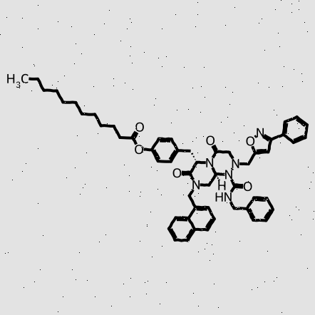 CCCCCCCCCCCC(=O)Oc1ccc(C[C@H]2C(=O)N(Cc3cccc4ccccc34)C[C@H]3N2C(=O)CN(Cc2cc(-c4ccccc4)no2)N3C(=O)NCc2ccccc2)cc1